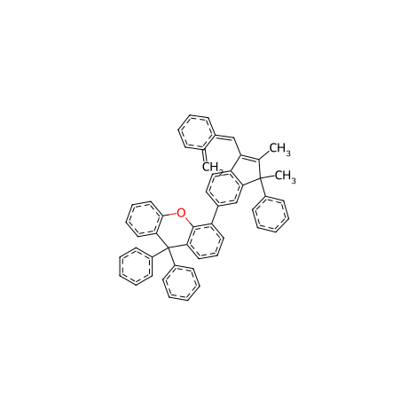 C=c1cccc/c1=C/C1=C(C)C(C)(c2ccccc2)c2cc(-c3cccc4c3Oc3ccccc3C4(c3ccccc3)c3ccccc3)ccc21